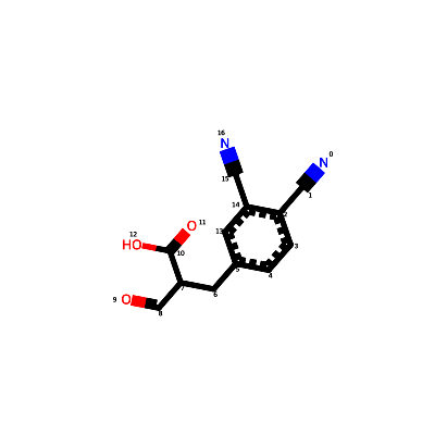 N#Cc1ccc(CC(C=O)C(=O)O)cc1C#N